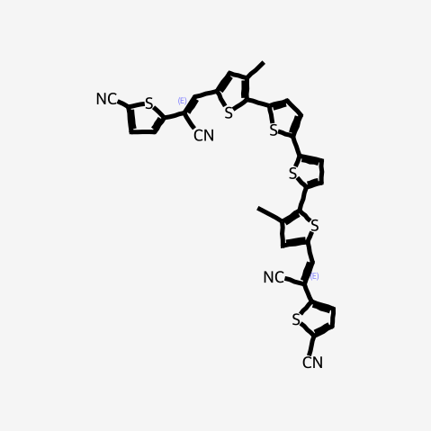 Cc1cc(/C=C(\C#N)c2ccc(C#N)s2)sc1-c1ccc(-c2ccc(-c3sc(/C=C(\C#N)c4ccc(C#N)s4)cc3C)s2)s1